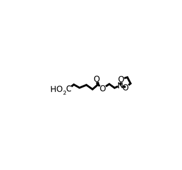 O=C(O)CCCCC(=O)OCCN1OCCO1